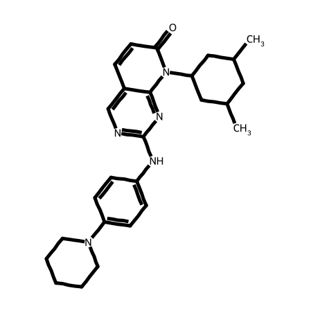 CC1CC(C)CC(n2c(=O)ccc3cnc(Nc4ccc(N5CCCCC5)cc4)nc32)C1